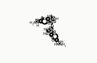 N=C(N)Nc1ccc2c(c1)CCCOc1c(cccc1C(=O)N(CCOCCN(C(=O)c1cccc3c1OCCCc1cc(NC(=N)N)ccc1C(=O)O3)[C@@H](CC(=O)O)C(=O)O)[C@@H](CC(=O)O)C(=O)O)OC2=O